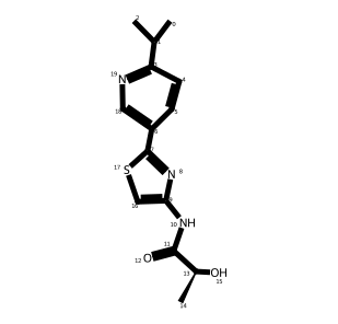 CC(C)c1ccc(-c2nc(NC(=O)[C@H](C)O)cs2)cn1